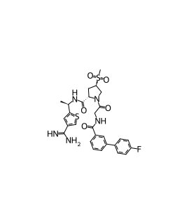 C[C@@H](NC(=O)[C@@H]1C[C@@H](S(C)(=O)=O)CN1C(=O)CNC(=O)c1cccc(-c2ccc(F)cc2)c1)c1cc(C(=N)N)cs1